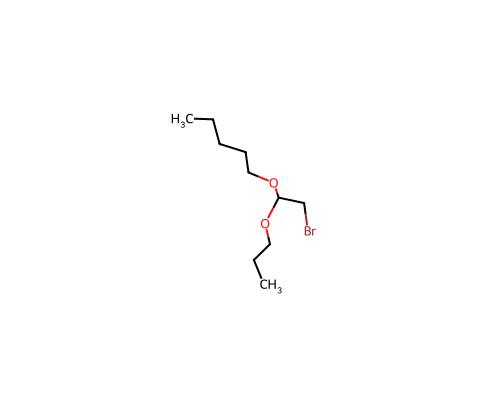 CCCCCOC(CBr)OCCC